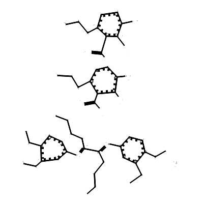 CCCCC(=Nc1ccc(CC)c(CC)c1)C(CCCC)=Nc1ccc(CC)c(CC)c1.CCCc1ccc(O)c(O)c1C(=O)[O-].CCCc1ccc(O)c(O)c1C(=O)[O-].[Ni+2]